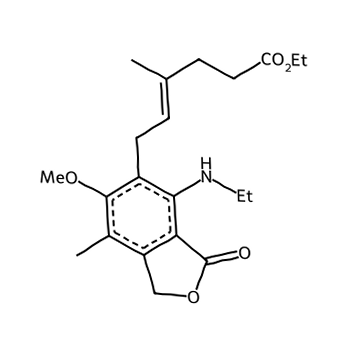 CCNc1c(C/C=C(\C)CCC(=O)OCC)c(OC)c(C)c2c1C(=O)OC2